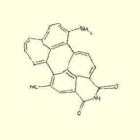 Bc1ccc2cccc3c4c(C#N)cc5c6c(ccc(c1c23)c64)C(=O)NC5=O